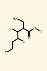 CCC(C(=O)OCl)C(Cl)C(Cl)CCCl